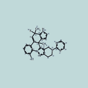 CCc1cccc2c1-n1nc3c(c1C1(C)C2=CC(C)(F)c2[nH]ccc21)CN(c1ncccn1)CC3